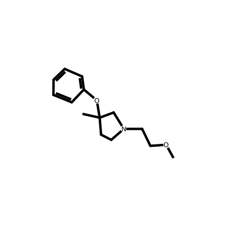 COCCN1CCC(C)(Oc2ccccc2)C1